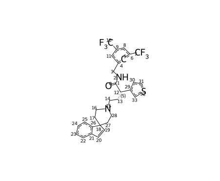 O=C(NCc1cc(C(F)(F)F)cc(C(F)(F)F)c1)[C@@H](CCN1CCC2(C=Cc3ccccc32)CC1)c1ccsc1